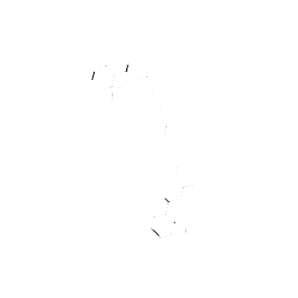 CCC1(C)CC=CC(C)C1C(=O)CC(C)SCCOCCOCCSC(C)CC(=O)C1C(C)C=CCC1(C)CC